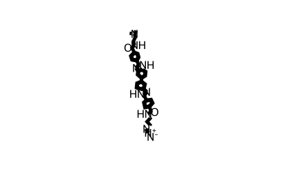 CN(C)CCNC(=O)c1ccc(-c2nc3cc(-c4ccc5[nH]c(-c6ccc(C(=O)NCCCN=[N+]=[N-])cc6)nc5c4)ccc3[nH]2)cc1